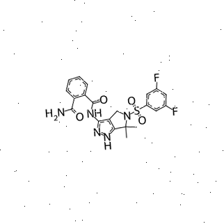 CC1(C)c2[nH]nc(NC(=O)c3ccccc3C(N)=O)c2CN1S(=O)(=O)c1cc(F)cc(F)c1